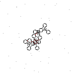 N#Cc1cccc(-n2c3ccccc3c3cc4c5ccccc5n(-c5ccccc5)c4cc32)c1-c1c(-c2nc(-c3ccccc3)nc(-c3ccccc3)n2)cccc1-n1c2ccccc2c2cc3c4ccccc4n(-c4ccccc4)c3cc21